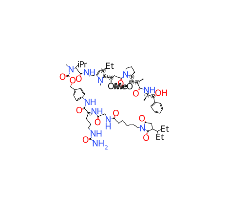 CCC(CC)C1CC(=O)N(CCCCCC(=O)NCC(=O)N[C@@H](CCCNC(N)=O)C(=O)Nc2ccc(COC(=O)N(C)C(C(=O)NCC3=C[C@@H](CC)[C@@H]([C@@H](CC(=O)N4CCC[C@H]4[C@H](OC)[C@@H](C)C(=O)N[C@H](C)[C@@H](O)c4ccccc4)OC)N3C)C(C)C)cc2)C1=O